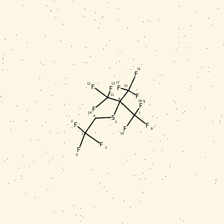 FC(F)(F)CSC(C(F)(F)F)(C(F)(F)F)C(F)(F)F